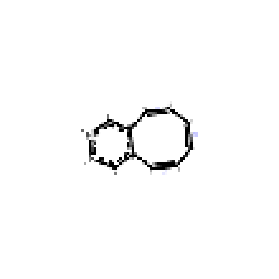 C1=C\C=C/c2cnncc2\C=C/1